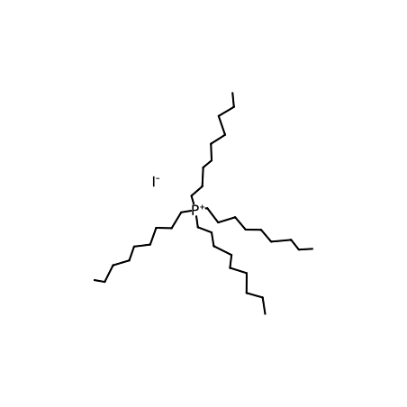 CCCCCCCCC[P+](CCCCCCCCC)(CCCCCCCCC)CCCCCCCCC.[I-]